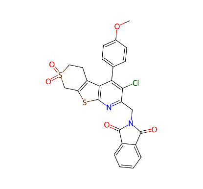 COc1ccc(-c2c(Cl)c(CN3C(=O)c4ccccc4C3=O)nc3sc4c(c23)CCS(=O)(=O)C4)cc1